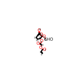 C=CC(=O)OCC(=O)OC1CCC2CC1(OC=O)OC2=O